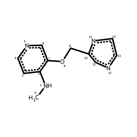 CNc1ccncc1OCc1cnccn1